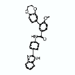 COc1ccc(C(=O)Nc2ccc(-c3nc4ccccc4[nH]3)cc2)cc1-c1ccc2c(c1)OCCO2